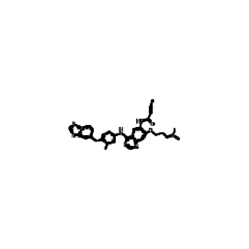 CC#CC(=O)Nc1cc2c(Nc3ccc(Cc4ccn5ncnc5c4)c(C)c3)ncnc2cc1OCCCN(C)C